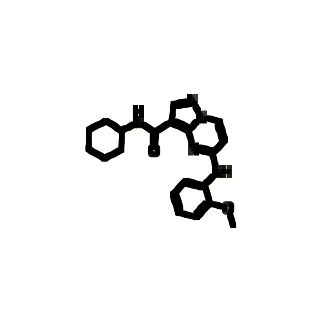 COc1ccccc1Nc1ccn2ncc(C(=O)NC3CCCCC3)c2n1